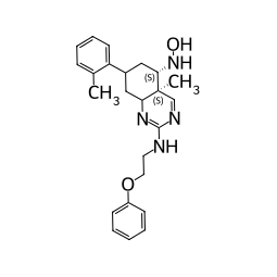 Cc1ccccc1C1CC2N=C(NCCOc3ccccc3)N=C[C@]2(C)[C@@H](NO)C1